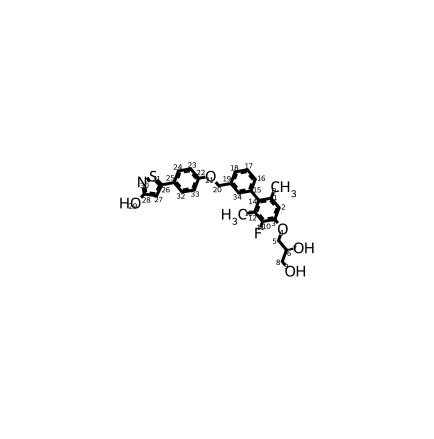 Cc1cc(OC[C@@H](O)CO)c(F)c(C)c1-c1cccc(COc2ccc(-c3cc(O)ns3)cc2)c1